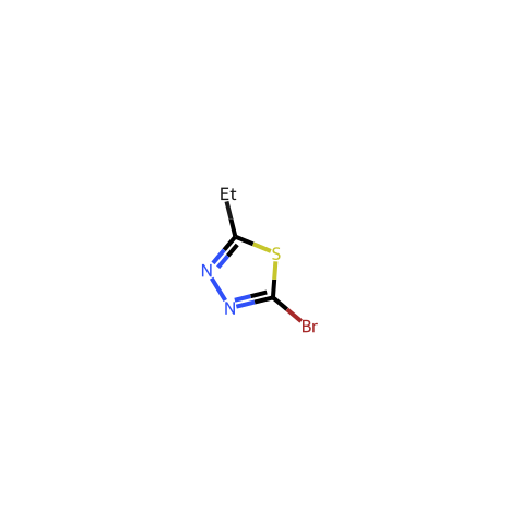 CCc1nnc(Br)s1